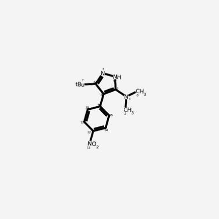 CN(C)c1[nH]nc(C(C)(C)C)c1-c1ccc([N+](=O)[O-])cc1